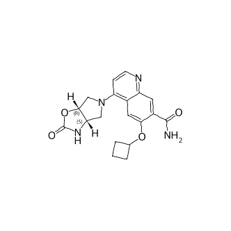 NC(=O)c1cc2nccc(N3C[C@@H]4NC(=O)O[C@@H]4C3)c2cc1OC1CCC1